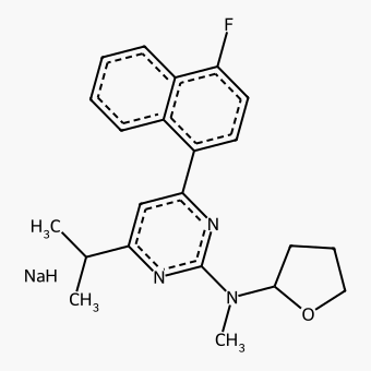 CC(C)c1cc(-c2ccc(F)c3ccccc23)nc(N(C)C2CCCO2)n1.[NaH]